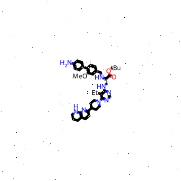 CCc1c(NC[C@H](NCc2ccc(-c3ccc(N)cc3)c(OC)c2)C(=O)OC(C)(C)C)ncnc1N1CCC(c2ccc3c(n2)NCCC3)CC1